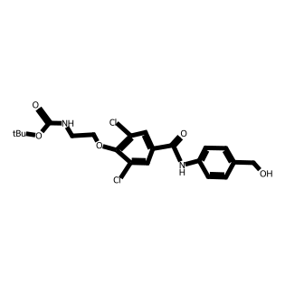 CC(C)(C)OC(=O)NCCOc1c(Cl)cc(C(=O)Nc2ccc(CO)cc2)cc1Cl